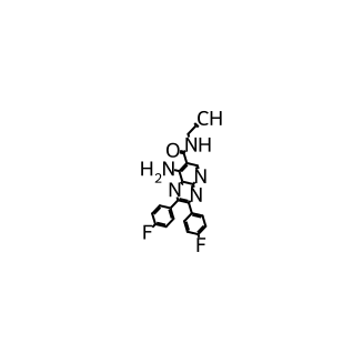 C#CCNC(=O)c1cnc2nc(-c3ccc(F)cc3)c(-c3ccc(F)cc3)nc2c1N